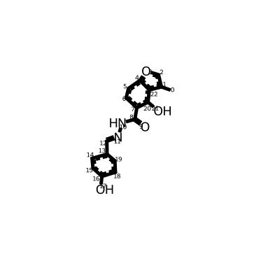 Cc1coc2ccc(C(=O)NN=Cc3ccc(O)cc3)c(O)c12